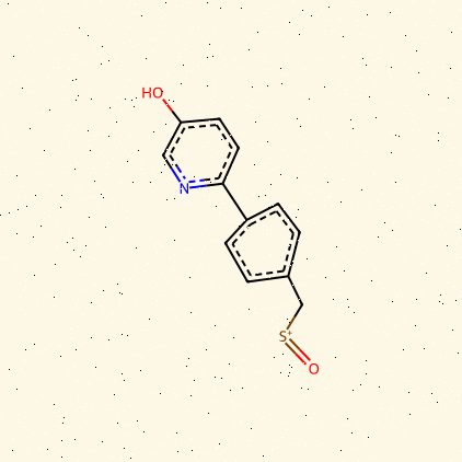 O=[S+]Cc1ccc(-c2ccc(O)cn2)cc1